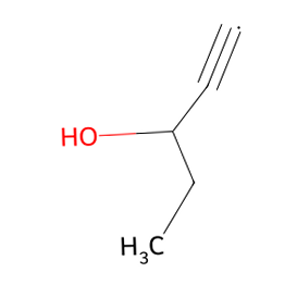 [C]#CC(O)CC